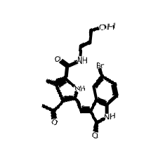 CC(=O)c1c(C=C2C(=O)Nc3ccc(Br)cc32)[nH]c(C(=O)NCCCO)c1C